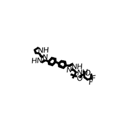 CC1(C(=O)N[C@H](c2nc(-c3ccc(-c4ccc(-c5c[nH]c(C6CCCN6)n5)cc4)cc3)c[nH]2)C(C)(C)C)CCC(F)(F)CO1